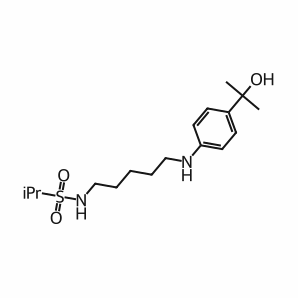 CC(C)S(=O)(=O)NCCCCCNc1ccc(C(C)(C)O)cc1